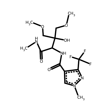 CNC(=O)C(NC(=O)c1cn(C)nc1C(F)(F)F)C(O)(COC)COC